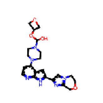 OC(OC1COC1)N1CCN(c2ccnc3[nH]c(-c4cn5c(n4)COCC5)cc23)CC1